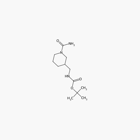 CC(C)(C)OC(=O)NCC1CCCN(C(N)=O)C1